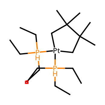 CC[PH](CC)(CC)[Pt]1([PH](CC)(CC)CC)[CH2]C(C)(C)C(C)(C)[CH2]1